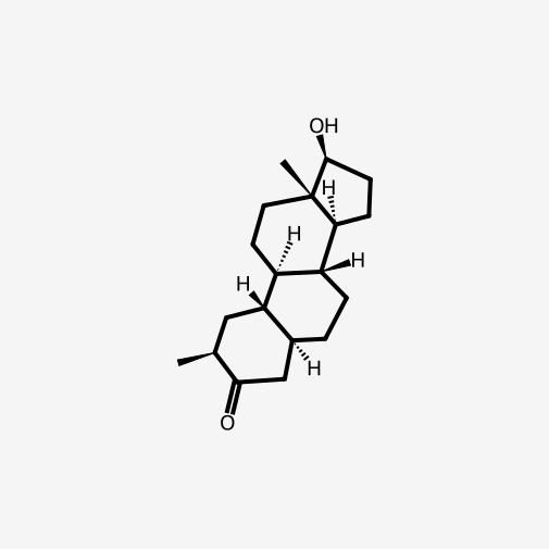 C[C@H]1C[C@H]2[C@@H](CC[C@@H]3[C@@H]2CC[C@]2(C)[C@@H](O)CC[C@@H]32)CC1=O